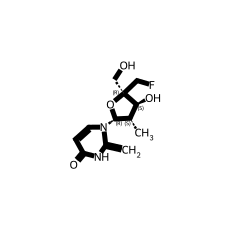 C=C1NC(=O)C=CN1[C@@H]1O[C@@](CO)(CF)[C@@H](O)[C@@H]1C